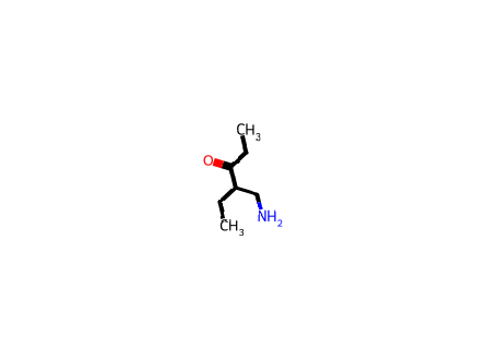 CCC(=O)C(CC)CN